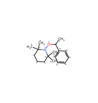 CC(ON1C(C)(C)C[CH]CC1(C)C)c1ccccc1